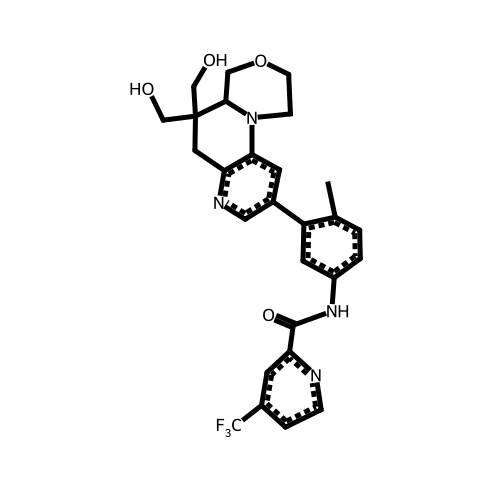 Cc1ccc(NC(=O)c2cc(C(F)(F)F)ccn2)cc1-c1cnc2c(c1)N1CCOCC1C(CO)(CO)C2